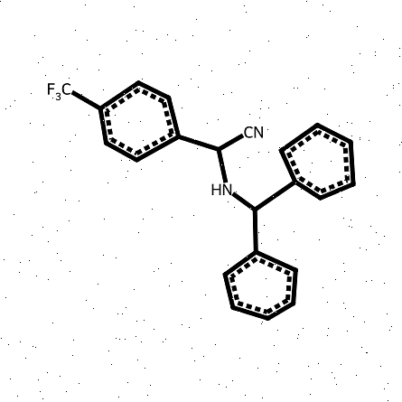 N#CC(NC(c1ccccc1)c1ccccc1)c1ccc(C(F)(F)F)cc1